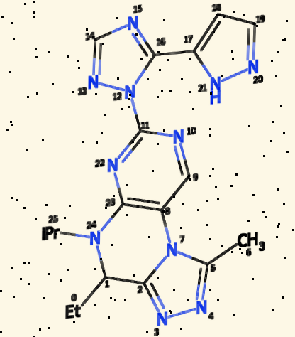 CCC1c2nnc(C)n2-c2cnc(-n3ncnc3-c3ccn[nH]3)nc2N1C(C)C